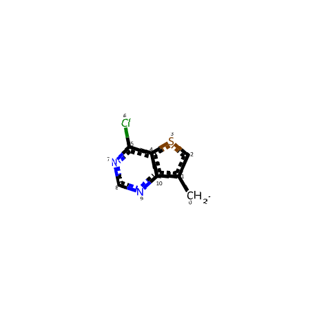 [CH2]c1csc2c(Cl)ncnc12